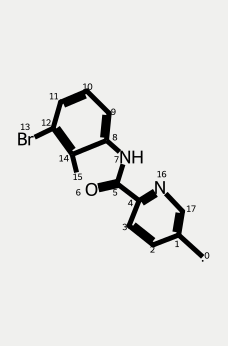 [CH2]c1ccc(C(=O)Nc2cccc(Br)c2C)nc1